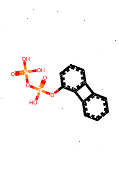 O=P(O)(O)OP(=O)(O)Oc1cccc2c1-c1ccccc1-2